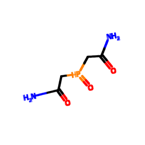 NC(=O)C[PH](=O)CC(N)=O